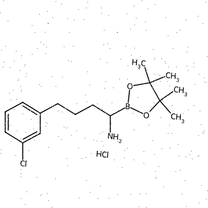 CC1(C)OB(C(N)CCCc2cccc(Cl)c2)OC1(C)C.Cl